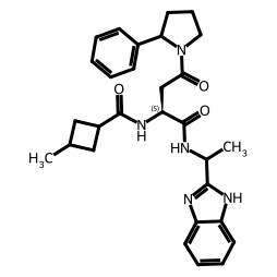 CC1CC(C(=O)N[C@@H](CC(=O)N2CCCC2c2ccccc2)C(=O)NC(C)c2nc3ccccc3[nH]2)C1